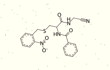 N#CCNC(=O)C(CSCc1ccccc1[N+](=O)[O-])NC(=O)c1ccccc1